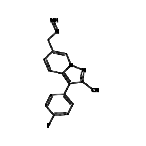 N#Cc1nn2cc(CN=N)ccc2c1-c1ccc(F)cc1